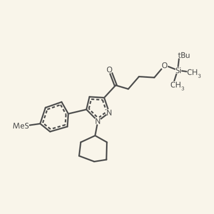 CSc1ccc(-c2cc(C(=O)CCCO[Si](C)(C)C(C)(C)C)nn2C2CCCCC2)cc1